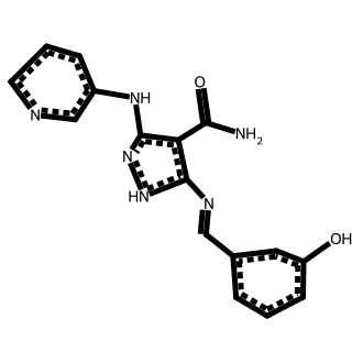 NC(=O)c1c(Nc2cccnc2)n[nH]c1N=Cc1cccc(O)c1